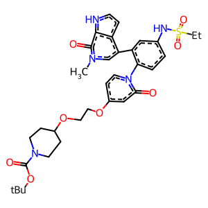 CCS(=O)(=O)Nc1ccc(-n2ccc(OCCOC3CCN(C(=O)OC(C)(C)C)CC3)cc2=O)c(-c2cn(C)c(=O)c3[nH]ccc23)c1